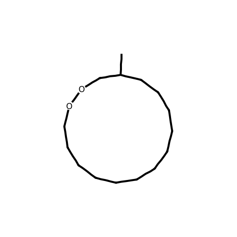 CC1CCCCCCCCCCCCOOC1